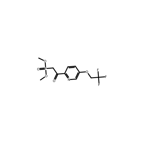 COP(=O)(CC(=O)c1ccc(OCC(F)(F)F)cn1)OC